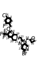 Fc1cc(Cl)ccc1COc1nc2c(cc1C(F)(F)F)CCN(Cc1nc3cc(Br)ncc3n1C[C@@H]1CCO1)C2